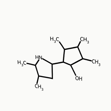 CC1CC(C2C(C)C(C)C(C)C2O)NC1C